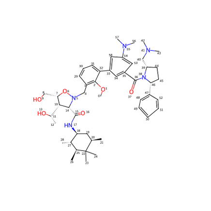 COc1c(CN2O[C@@H](CO)[C@@H]([C@H](C)O)[C@H]2C(=O)N[C@H]2C[C@@H](C)C(C)(C)[C@@H](C)[C@@H]2C)cccc1-c1cc(C(=O)N2[C@H](CN(C)C)CC[C@@H]2c2ccccc2)cc(N(C)C)c1